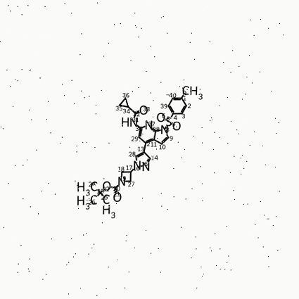 Cc1ccc(S(=O)(=O)n2ccc3c(-c4cnn(C5CN(C(=O)OC(C)(C)C)C5)c4)cc(NC(=O)C4CC4)nc32)cc1